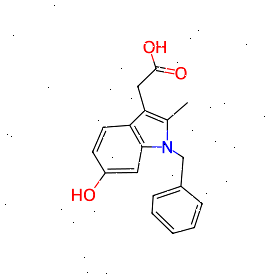 Cc1c(CC(=O)O)c2ccc(O)cc2n1Cc1ccccc1